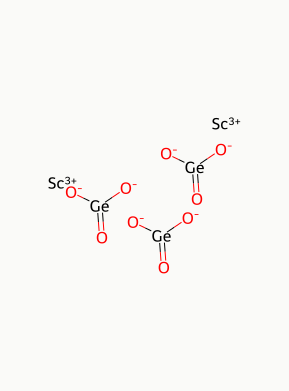 [O]=[Ge]([O-])[O-].[O]=[Ge]([O-])[O-].[O]=[Ge]([O-])[O-].[Sc+3].[Sc+3]